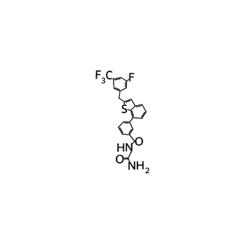 NC(=O)CNC(=O)c1cccc(-c2cccc3cc(Cc4cc(F)cc(C(F)(F)F)c4)sc23)c1